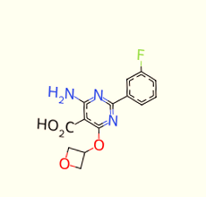 Nc1nc(-c2cccc(F)c2)nc(OC2COC2)c1C(=O)O